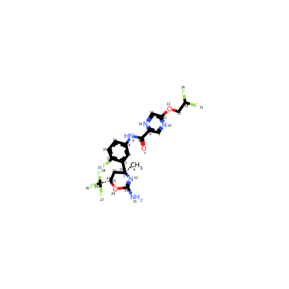 C[C@@]1(c2cc(NC(=O)c3cnc(OCC(F)F)cn3)ccc2F)C[C@@H](C(F)(F)F)OC(N)=N1